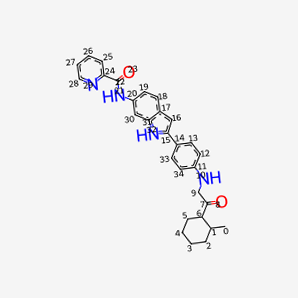 CC1CCCCC1C(=O)CNc1ccc(-c2cc3ccc(NC(=O)c4ccccn4)cc3[nH]2)cc1